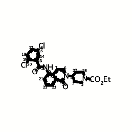 CCOC(=O)N1CCC(n2ccc3c(NC(=O)c4cc(Cl)ccc4Cl)cccc3c2=O)CC1